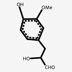 COc1cc(CC(O)C=O)ccc1O